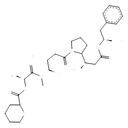 CC[C@H](C)[C@@H]([C@@H](CC(=O)N1CCCC1[C@H](OC)[C@@H](C)C(=O)N[C@@H](Cc1ccccc1)C(=O)O)OC)N(C)C(=O)[C@@H](NC(=O)[C@]1(C)CCCCN1)C(C)C